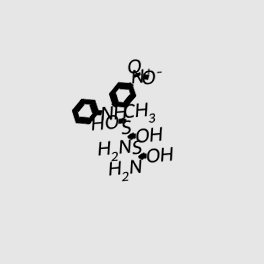 CCO.NC(O)=S.NC(O)=S.O=[N+]([O-])c1ccc(Nc2ccccc2)cc1